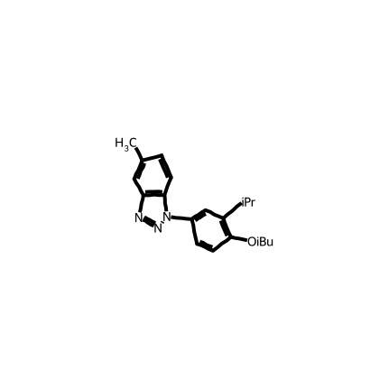 Cc1ccc2c(c1)nnn2-c1ccc(OCC(C)C)c(C(C)C)c1